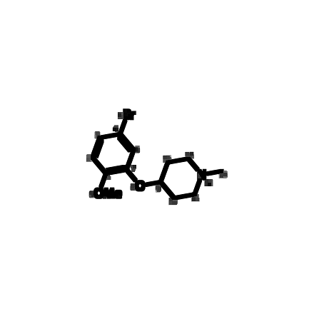 COc1ccc(Br)cc1OC1CCN(C)CC1